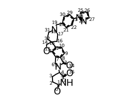 O=C1CCC(N2Cc3c(ccc4c3OCC43CCN(Cc4ccc(-n5cccn5)cc4)CC3)C2=O)C(=O)N1